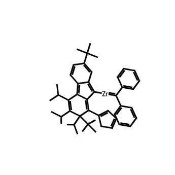 CC(C)C1=C(C(C)C)C(C(C)C)(C(C)(C)C)C(C2=CC=CC2)=C2[C]([Zr]=[C](c3ccccc3)c3ccccc3)=c3cc(C(C)(C)C)ccc3=C21